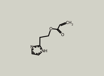 C=CC(=O)OCCc1ncc[nH]1